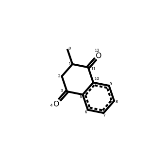 C[C]1CC(=O)c2ccccc2C1=O